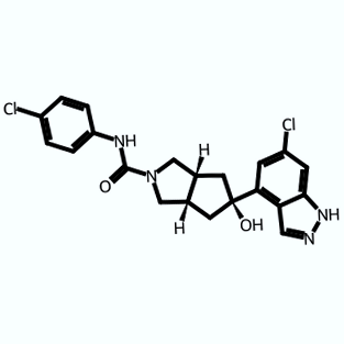 O=C(Nc1ccc(Cl)cc1)N1C[C@@H]2C[C@](O)(c3cc(Cl)cc4[nH]ncc34)C[C@@H]2C1